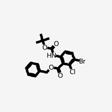 CC(C)(C)OC(=O)Nc1ccc(Br)c(Cl)c1C(=O)OCc1ccccc1